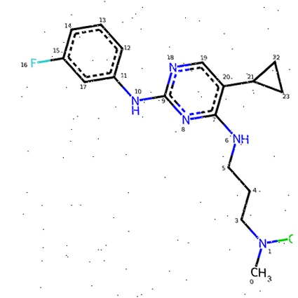 CN(Cl)CCCNc1nc(Nc2cccc(F)c2)ncc1C1CC1